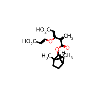 C=C(C(=O)OC1CC2CCC1(C)C2(C)C)C(=CC(=O)O)OC=CC(=O)O